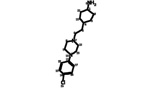 NC1CCC(CCN2CCN(c3ccc(Cl)cc3)CC2)CC1